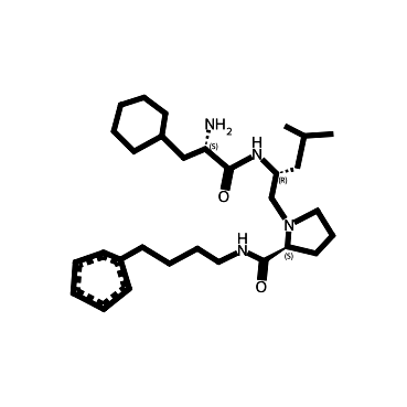 CC(C)C[C@H](CN1CCC[C@H]1C(=O)NCCCCc1ccccc1)NC(=O)[C@@H](N)CC1CCCCC1